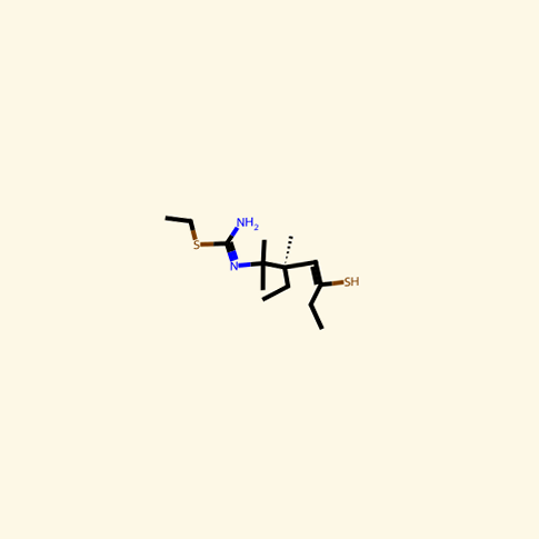 CCS/C(N)=N/C(C)(C)[C@@](C)(/C=C(/S)CC)CC